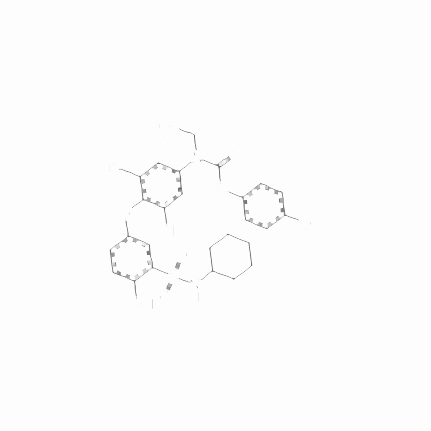 O=C(O)CN(C(=O)Oc1ccc(O)cc1)c1cc(Cl)c(Oc2ccc(O)c(S(=O)(=O)NC3CCCCC3)c2)c(Cl)c1